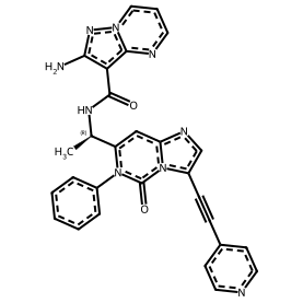 C[C@@H](NC(=O)c1c(N)nn2cccnc12)c1cc2ncc(C#Cc3ccncc3)n2c(=O)n1-c1ccccc1